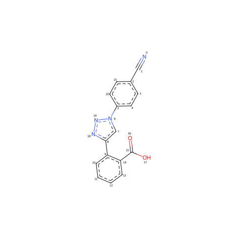 N#Cc1ccc(-n2cc(-c3ccccc3C(=O)O)nn2)cc1